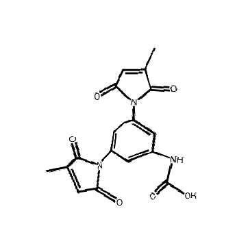 CC1=CC(=O)N(c2cc(NC(=O)O)cc(N3C(=O)C=C(C)C3=O)c2)C1=O